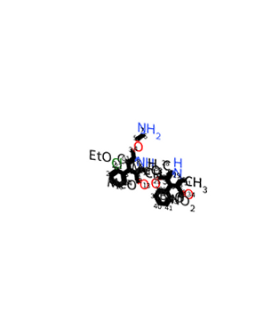 CCOC(=O)C1=C(COCCN)NC(C)=C(C(=O)OC)C1c1ccccc1Cl.COC(=O)C1=C(C)NC(C)=C(C(=O)OCC(C)C)C1c1ccccc1[N+](=O)[O-]